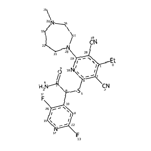 CCc1c(C#N)c(SC(C(N)=O)c2cc(F)ncc2F)nc(N2CCCN(C)CC2)c1C#N